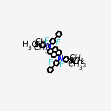 C[Si](C)(C)c1ccc(N(c2cc(F)c(-c3ccccc3)cc2F)c2ccc3ccc4c(N(c5ccc([Si](C)(C)C)cc5)c5cc(F)c(-c6ccccc6)cc5F)ccc5ccc2c3c54)cc1